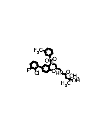 CC(C)(O)CC(=O)NCC1CN(S(=O)(=O)c2cccc(C(F)(F)F)c2)c2cc(-c3cccc(F)c3Cl)ccc2O1